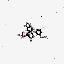 COc1cc(NC23N=CC(C)=C(NO2)[N+]3(COP(=O)(O)O)c2ccc3c(c2)NCO3)cc(C(F)(F)F)c1